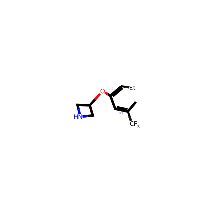 CC/C=C(\C=C(/C)C(F)(F)F)OC1CNC1